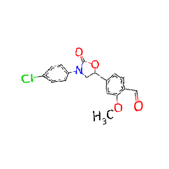 COc1cc(C2CN(c3ccc(Cl)cc3)C(=O)O2)ccc1C=O